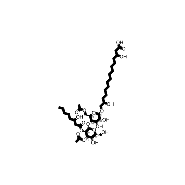 CCCCCC(O)CC(=O)O[C@H]1[C@H](O[C@H]2[C@H](O)[C@@H](O)[C@H](OCC(O)CCCCCCCCCCCC(O)CC(=O)O)O[C@@H]2COC(C)=O)O[C@H](CO)[C@@H](O)[C@@H]1OC(C)=O